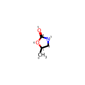 CC1C[N]C(=O)O1